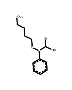 [CH2]CC(O)N(OCCCCCCCCCCCCCC)c1ccccc1